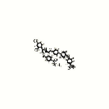 COC(=O)c1ccc(Cn2cc(-c3ccc(Cl)cc3Cl)nc2C=Cc2ccc(-c3ccc(Oc4ccc([N+](=O)[O-])cc4)cc3)cc2)cc1